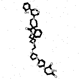 O=C1CC[C@H](c2ccc(N3CC[C@H](CCN4CC5(C4)CN(C(=O)C4(c6ccccc6)CCN(c6cnnc(-c7ccccc7O)c6)CC4)C5)C3)nc2)C(=O)N1